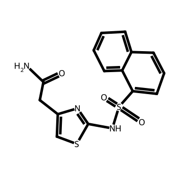 NC(=O)Cc1csc(NS(=O)(=O)c2cccc3ccccc23)n1